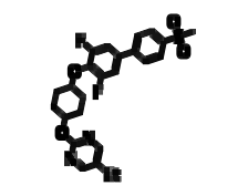 CCc1cnc(OC2CCC(Oc3c(F)cc(-c4ccc(S(C)(=O)=O)cc4)cc3F)CC2)nc1